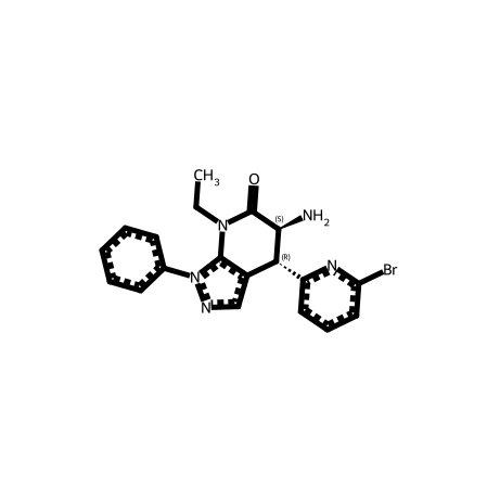 CCN1C(=O)[C@@H](N)[C@H](c2cccc(Br)n2)c2cnn(-c3ccccc3)c21